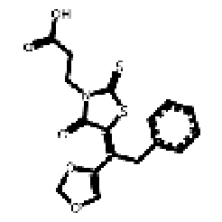 O=C(O)CCN1C(=O)C(=C(Cc2ccccc2)C2=COCO2)SC1=S